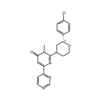 Cn1c(N2CCO[C@@H](c3ccc(Cl)cc3)C2)nc(-c2ccncn2)cc1=O